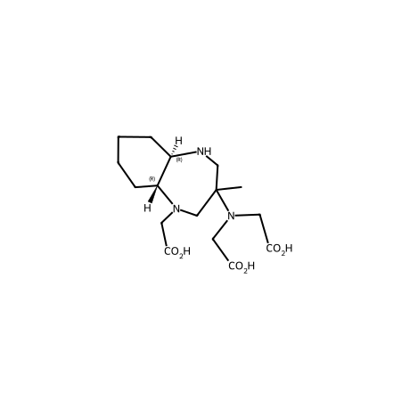 CC1(N(CC(=O)O)CC(=O)O)CN[C@@H]2CCCC[C@H]2N(CC(=O)O)C1